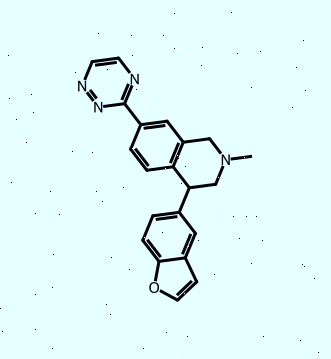 CN1Cc2cc(-c3nccnn3)ccc2C(c2ccc3occc3c2)C1